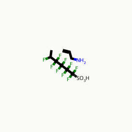 C=CCN.CC(F)C(F)(F)C(F)(F)C(F)(F)C(F)(F)S(=O)(=O)O